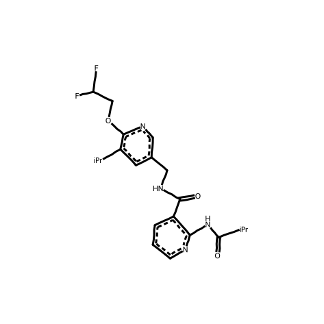 CC(C)C(=O)Nc1ncccc1C(=O)NCc1cnc(OCC(F)F)c(C(C)C)c1